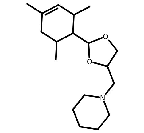 CC1=CC(C)C(C2OCC(CN3CCCCC3)O2)C(C)C1